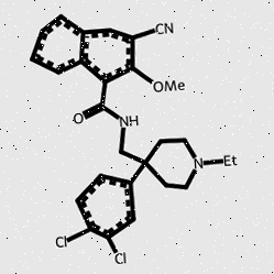 CCN1CCC(CNC(=O)c2c(OC)c(C#N)cc3ccccc23)(c2ccc(Cl)c(Cl)c2)CC1